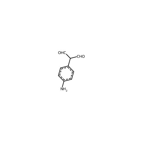 Nc1ccc(C(C=O)C=O)cc1